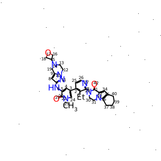 CCc1c(-c2cc(Nc3cc4n(n3)CCN(C3COC3)C4)c(=O)n(C)c2)ccnc1N1CCn2c(cc3c2CCCC3)C1=O